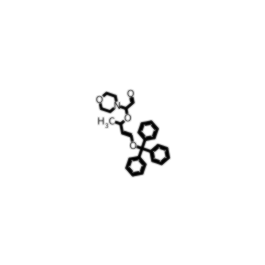 CC(C=COC(c1ccccc1)(c1ccccc1)c1ccccc1)OC(C=O)N1CCOCC1